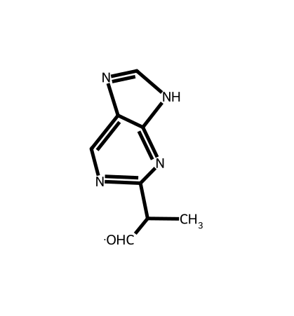 CC([C]=O)c1ncc2nc[nH]c2n1